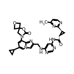 Cc1ccnc([C@H]2C[C@@H]2C(=O)Nc2cc(NCc3cn4cc(C5CC5)cc(N5CC6(COC6)OC5=O)c4n3)ncn2)n1